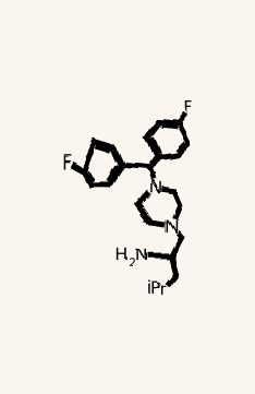 CC(C)CC(N)CN1CCN(C(c2ccc(F)cc2)c2ccc(F)cc2)CC1